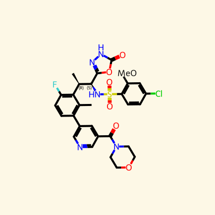 COc1cc(Cl)ccc1S(=O)(=O)N[C@H](c1n[nH]c(=O)o1)[C@H](C)c1c(F)ccc(-c2cncc(C(=O)N3CCOCC3)c2)c1C